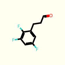 O=CCCc1cc(F)cc(F)c1F